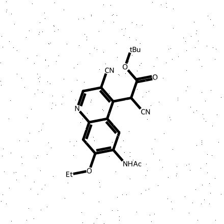 CCOc1cc2ncc(C#N)c(C(C#N)C(=O)OC(C)(C)C)c2cc1NC(C)=O